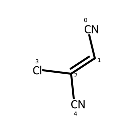 N#CC=C(Cl)C#N